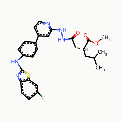 COC(=O)[C@@H](CC(=O)NNc1cc(-c2ccc(Nc3nc4ccc(Cl)cc4s3)cc2)ccn1)CC(C)C